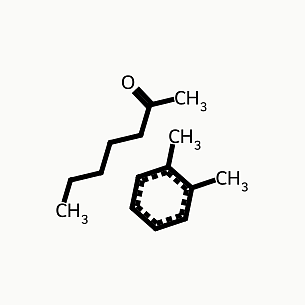 CCCCCC(C)=O.Cc1ccccc1C